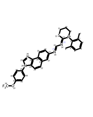 Cc1cccc(C)c1N1CCCS/C1=N\C=N\c1ccc2c(ccc3c2ncn3-c2ccc(OC(F)(F)F)cc2)c1